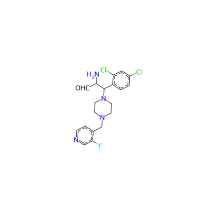 NC(C=O)C(c1ccc(Cl)cc1Cl)N1CCN(Cc2ccncc2F)CC1